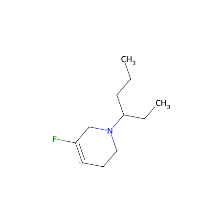 CCCC(CC)N1CC[C]=C(F)C1